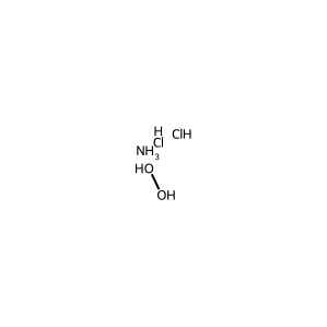 Cl.Cl.N.OO